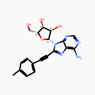 Cc1ccc(C#Cc2nc3c(N)ncnc3n2[C@@H]2O[C@H](CO)[C@@H](O)[C@H]2O)cc1